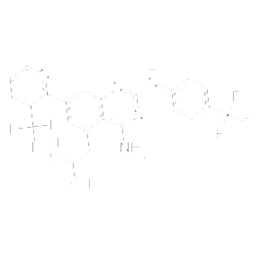 CC(C)Cc1cc(-c2ncccc2C(F)(F)F)cc2nc(Nc3ccc(C(F)(F)F)cc3)nc(N)c12